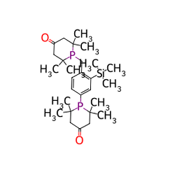 CC1(C)CC(=O)CC(C)(C)P1Cc1ccc(P2C(C)(C)CC(=O)CC2(C)C)cc1[Si](C)(C)C